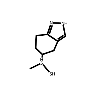 C[SH](S)C1CCc2n[nH]cc2C1